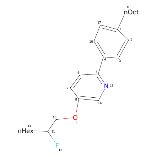 CCCCCCCCc1ccc(-c2ccc(OCC(F)CCCCCC)cn2)cc1